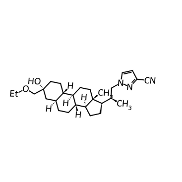 CCOC[C@@]1(O)CC[C@H]2[C@@H](CC[C@@H]3[C@@H]2CC[C@]2(C)[C@@H]([C@H](C)Cn4ccc(C#N)n4)CC[C@@H]32)C1